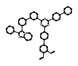 C=Cc1ccc(-c2ccc(-c3nc(-c4ccc(-c5ccccc5)cc4)nc(-c4cccc(-c5cccc(-c6c(-c7ccccc7)nc7ccccn67)c5)c4)n3)cc2)cc1C=C